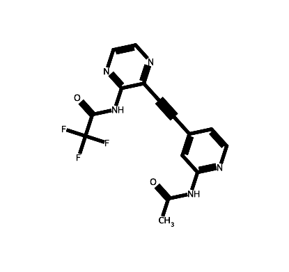 CC(=O)Nc1cc(C#Cc2nccnc2NC(=O)C(F)(F)F)ccn1